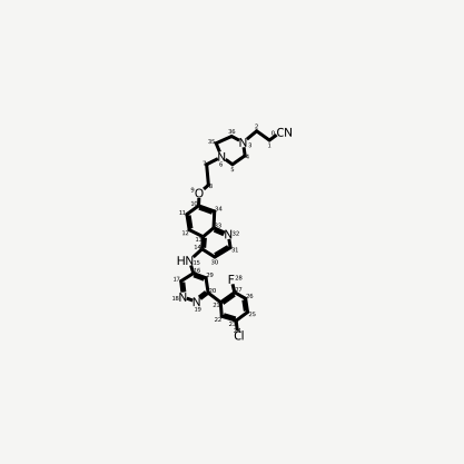 N#CCCN1CCN(CCOc2ccc3c(Nc4cnnc(-c5cc(Cl)ccc5F)c4)ccnc3c2)CC1